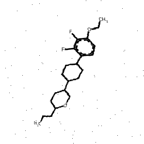 CCCC1CCC(C2CCC(c3ccc(OCC)c(F)c3F)CC2)CO1